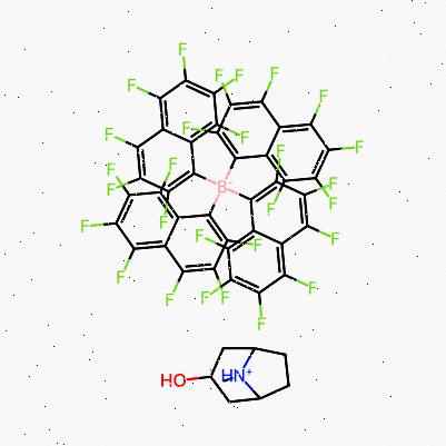 C[NH+]1C2CCC1CC(O)C2.Fc1c(F)c(F)c2c([B-](c3c(F)c(F)c(F)c4c(F)c(F)c(F)c(F)c34)(c3c(F)c(F)c(F)c4c(F)c(F)c(F)c(F)c34)c3c(F)c(F)c(F)c4c(F)c(F)c(F)c(F)c34)c(F)c(F)c(F)c2c1F